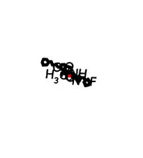 CN1C(=O)[C@@H](NC(=O)n2cc(Cc3cccc(F)c3)cn2)COc2ccc(OCCCC3CCCCC3)cc21